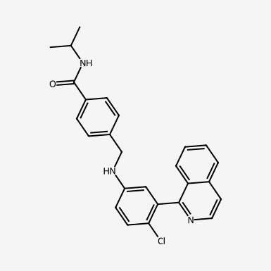 CC(C)NC(=O)c1ccc(CNc2ccc(Cl)c(-c3nccc4ccccc34)c2)cc1